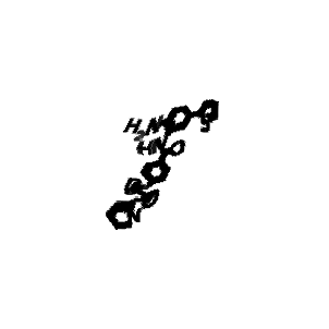 Nc1ccc(-c2cccs2)cc1NC(=O)c1ccc(S(=O)(=O)c2ccccn2)cc1